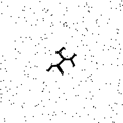 CCC(=O)C(NC)C(C)C